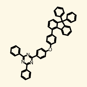 c1ccc(-c2nc(-c3ccccc3)nc(-c3ccc(Oc4ccc(-c5cccc6c5-c5ccccc5C6(c5ccccc5)c5ccccc5)cc4)cc3)n2)cc1